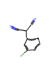 N#CC(C#N)c1cccc(Cl)c1